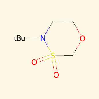 CC(C)(C)N1CCOCS1(=O)=O